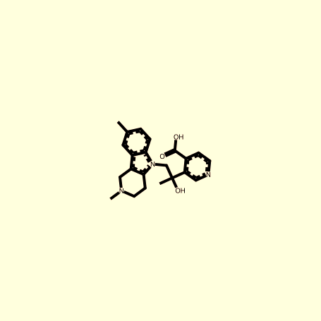 Cc1ccc2c(c1)c1c(n2CC(C)(O)c2cnccc2C(=O)O)CCN(C)C1